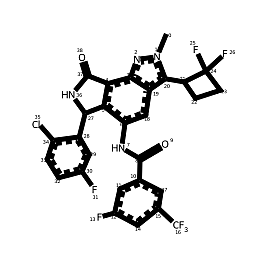 Cn1nc2c3c(c(NC(=O)c4cc(F)cc(C(F)(F)F)c4)cc2c1C1CCC1(F)F)C(c1cc(F)ccc1Cl)NC3=O